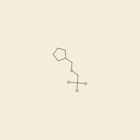 ClC(Cl)(Cl)COC[C]1CCCC1